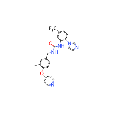 Cc1cc(CNC(=O)Nc2cc(C(F)(F)F)ccc2-n2ccnc2)ccc1Oc1ccncc1